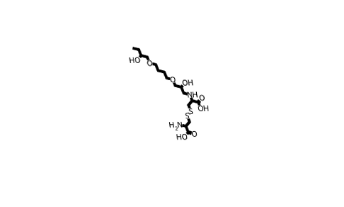 CCC(O)COCCCCOCC(O)CNC(CSSCC(N)C(=O)O)C(=O)O